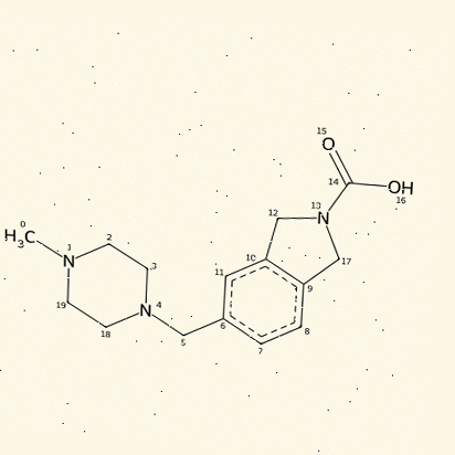 CN1CCN(Cc2ccc3c(c2)CN(C(=O)O)C3)CC1